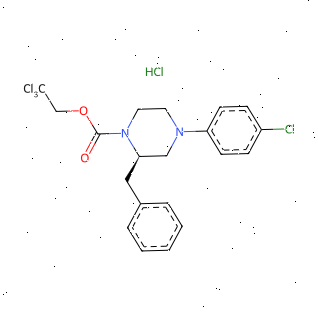 Cl.O=C(OCC(Cl)(Cl)Cl)N1CCN(c2ccc(Cl)cc2)C[C@H]1Cc1ccccc1